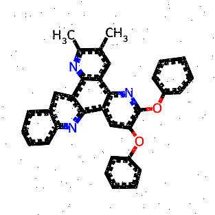 Cc1cc2c(nc1C)c1cc3ccccc3nc1c1cc(Oc3ccccc3)c(Oc3ccccc3)nc21